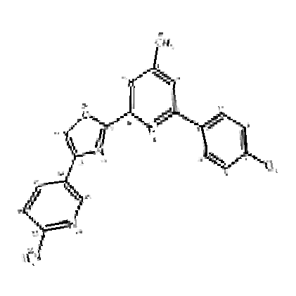 Cc1cc(-c2ccc(Cl)cc2)nc(-c2nc(-c3ccc(N)nc3)no2)n1